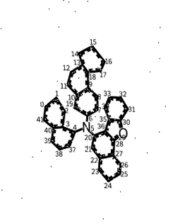 c1ccc2c(N(c3ccc4c(ccc5ccccc54)c3)c3cc4ccccc4c4oc5ccccc5c34)cccc2c1